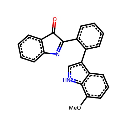 COc1cccc2c(-c3ccccc3C3=Nc4ccccc4C3=O)c[nH]c12